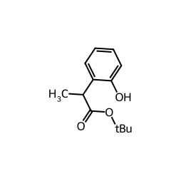 CC(C(=O)OC(C)(C)C)c1ccccc1O